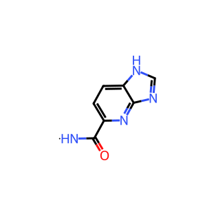 [NH]C(=O)c1ccc2[nH]cnc2n1